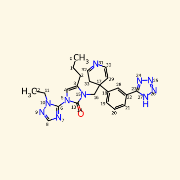 CCCc1cn(-c2ncnn2CC)c(=O)n1CC1(c2cccc(-c3nnn[nH]3)c2)C=CN=CC1